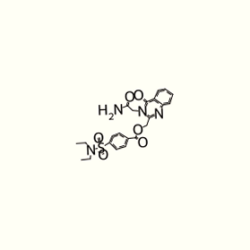 CCN(CC)S(=O)(=O)c1ccc(C(=O)OCc2nc3ccccc3c(=O)n2CC(N)=O)cc1